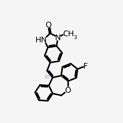 Cn1c(=O)[nH]c2cc(/C=C3/c4ccccc4COc4cc(F)ccc43)ccc21